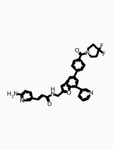 Nc1ccc(C=CC(=O)NCc2cc3cc(-c4ccc(C(=O)N5CCC(F)(F)CC5)cc4)cc(-c4cccnc4)c3o2)cn1